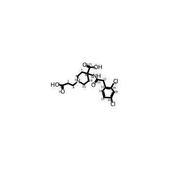 O=C(O)CCN1CCC(NC(=O)Cc2ccc(Cl)cc2Cl)(C(=O)O)CC1